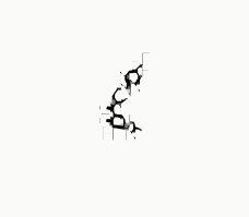 CC(N)Cn1ccc(=O)c(C(=O)N2CCN(c3ncc(C(F)(F)F)cn3)CC2)c1